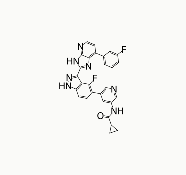 O=C(Nc1cncc(-c2ccc3[nH]nc(-c4nc5c(-c6cccc(F)c6)ccnc5[nH]4)c3c2F)c1)C1CC1